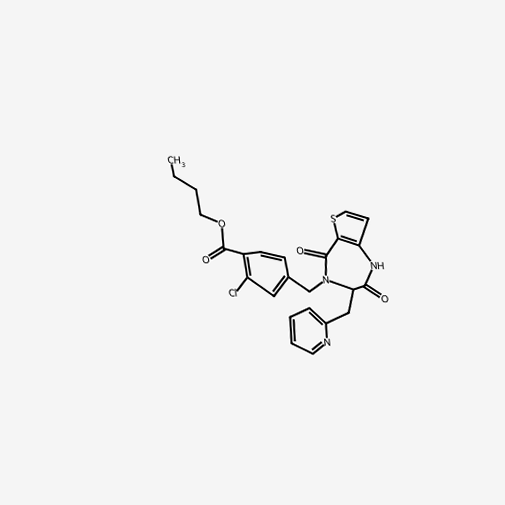 CCCCOC(=O)c1ccc(CN2C(=O)c3sccc3NC(=O)C2Cc2ccccn2)cc1Cl